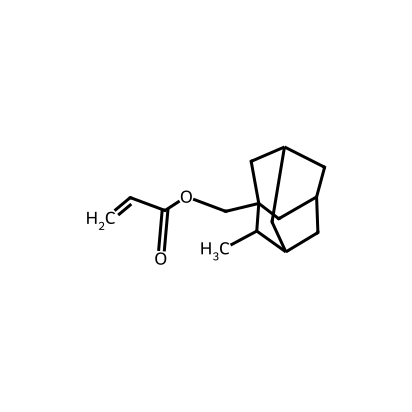 C=CC(=O)OCC12CC3CC(CC(C3)C1C)C2